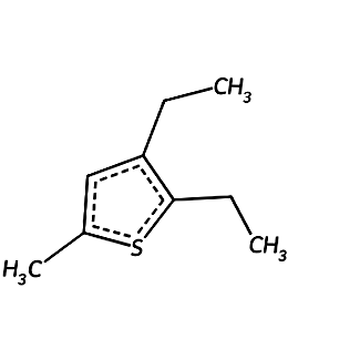 CCc1cc(C)sc1CC